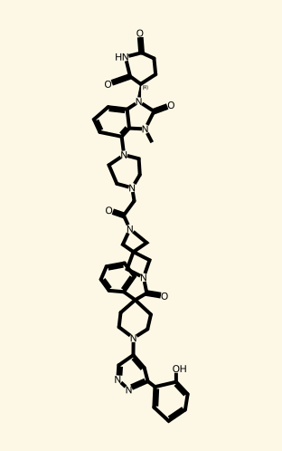 Cn1c(=O)n([C@@H]2CCC(=O)NC2=O)c2cccc(N3CCN(CC(=O)N4CC5(C4)CN(C(=O)C4(c6ccccc6)CCN(c6cnnc(-c7ccccc7O)c6)CC4)C5)CC3)c21